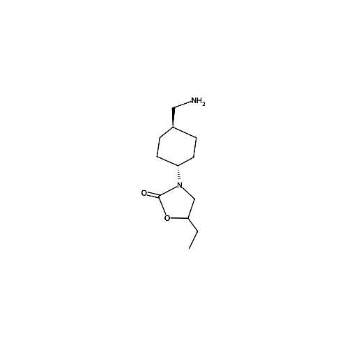 CCC1CN([C@H]2CC[C@H](CN)CC2)C(=O)O1